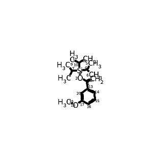 C=C(O[Si](C(C)C)(C(C)C)C(C)C)c1cccc(OC)c1